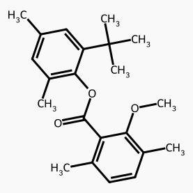 COc1c(C)ccc(C)c1C(=O)Oc1c(C)cc(C)cc1C(C)(C)C